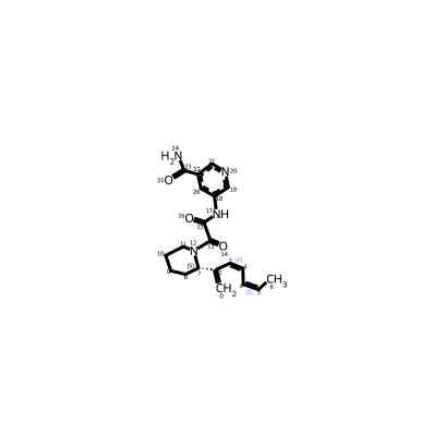 C=C(/C=C\C=C/C)[C@@H]1CCCCN1C(=O)C(=O)Nc1cncc(C(N)=O)c1